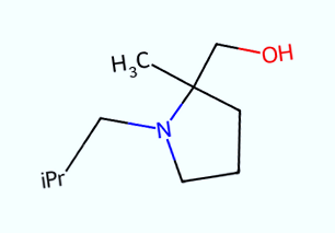 CC(C)CN1CCCC1(C)CO